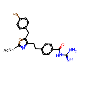 CC(=O)Nc1nc(CCc2ccc(C(=O)NC(=N)N)cc2)c(Cc2ccc(S)cc2)s1